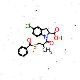 CC(CSC(=O)c1ccccc1)C(=O)N1c2ccc(Cl)cc2CC1C(=O)O